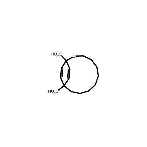 O=C(O)C12C=CC(C(=O)O)(C=C1)OCCCCCCCC2